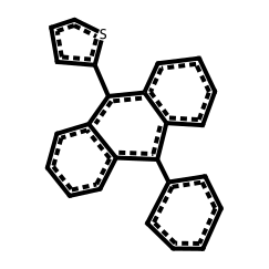 c1ccc(-c2c3ccccc3c(-c3cccs3)c3ccccc23)cc1